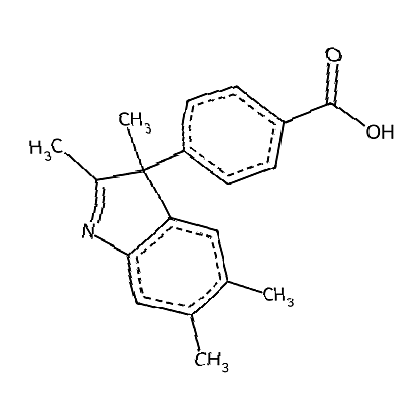 CC1=Nc2cc(C)c(C)cc2C1(C)c1ccc(C(=O)O)cc1